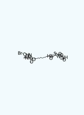 COc1cc2c(N[C@H](C)c3cccc(Br)c3)nc(C)nc2cc1OCCCCCCCCCCCC(=O)NCc1scc2c1CN(C1CCC(=O)NC1=O)C2=O